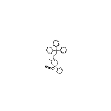 COC1(c2ccccc2)CCN(CCC(c2ccccc2)(c2ccccc2)c2ccccc2)C(C)C1